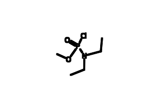 CCN(CC)P(=O)(Cl)OC